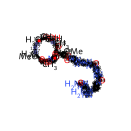 CO[C@H]1CC2CC[C@@H](C)C(O2)C(=O)C(=O)N2CCCC[C@H]2C(=O)O[C@H](CC[C@@H]2CC[C@@H](OC(=O)N3CCc4nc(N5CCN(c6ncc(C(=O)N7CCN(c8ncc(C(=O)N9CCc%10cc(Cn%11nc(C%12=CC%13N=C(N)OC%13N=C%12)c%12c(N)ncnc%12%11)ccc%10C9)cn8)CC7)cn6)CC5)ncc4C3)[C@H](OC)C2)CC(=O)[C@H](C)/C=C(\C)[C@@H](O)CC(=O)[C@H](C)C[C@H](C)/C=C/C=C/C=C/1C